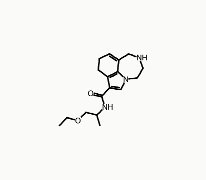 CCOCC(C)NC(=O)c1cn2c3c1CCC=C3CNCC2